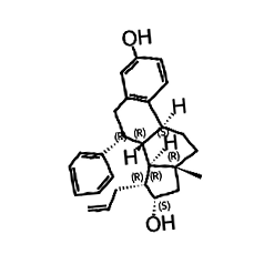 C=CC[C@@H]1[C@H]2[C@H]3[C@H](CC[C@]2(C)C[C@@H]1O)c1ccc(O)cc1C[C@H]3c1ccccc1